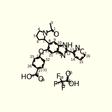 CC(=O)N1CCCC1c1cc2[nH]c(-c3ccccn3)nc2cc1Oc1ccc(C(=O)O)cc1.O=C(O)C(F)(F)F